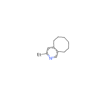 CCc1cc2c(cn1)CCCCCC2